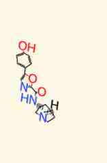 O=C(N[C@@H]1C[C@@H]2CCN(C2)C1)c1ncc(-c2ccc(O)cc2)o1